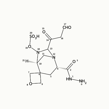 NNC(=O)[C@@H]1CC2(COC2)[C@@H]2CN1C(C(=O)CC=O)N2OS(=O)(=O)O